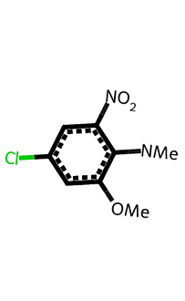 CNc1c(OC)cc(Cl)cc1[N+](=O)[O-]